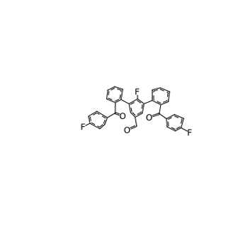 O=Cc1cc(-c2ccccc2C(=O)c2ccc(F)cc2)c(F)c(-c2ccccc2C(=O)c2ccc(F)cc2)c1